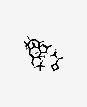 CC1=C[C@]23C(=O)[C@@H](C=C4COC(C)(C)O[C@H]4[C@]2(O)[C@H]1OC(=O)N(C)C1CCC1)C(C)(C)[C@@H](C)C[C@H]3C